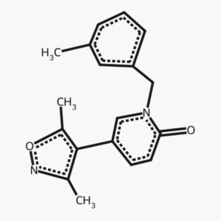 Cc1cccc(Cn2cc(-c3c(C)noc3C)ccc2=O)c1